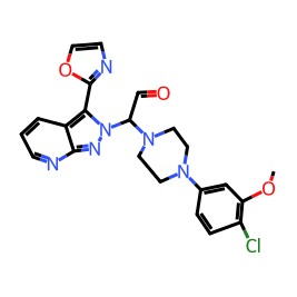 COc1cc(N2CCN(C(C=O)n3nc4ncccc4c3-c3ncco3)CC2)ccc1Cl